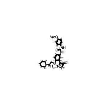 COc1ccc(NC(=O)Nc2ccc(OCCN3CCCCC3)c(-c3c(Cl)cnn3C)c2)cc1